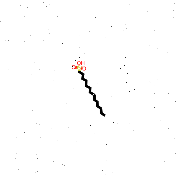 CCCCC/C=C/CCCCCCCS(=O)(=O)O